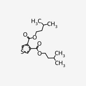 CC(C)CCOC(=O)c1cscc1C(=O)OCCC(C)C